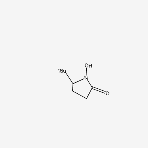 CC(C)(C)C1CCC(=O)N1O